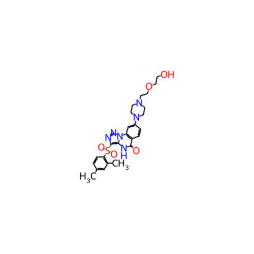 Cc1ccc(S(=O)(=O)c2nnn3c2[nH]c(=O)c2ccc(N4CCN(CCOCCO)CC4)cc23)c(C)c1